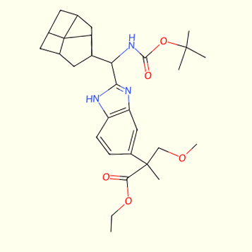 CCOC(=O)C(C)(COC)c1ccc2[nH]c(C(NC(=O)OC(C)(C)C)C34CC5CC6CC(C3)C65C4)nc2c1